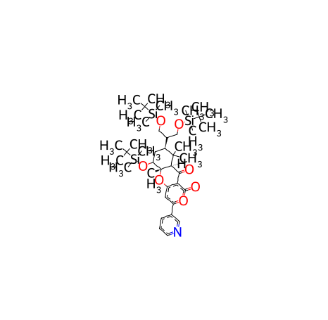 CC1(C)[C@H]2C(=O)c3c(cc(-c4cccnc4)oc3=O)O[C@]2(C)C(O[Si](C)(C)C(C)(C)C)C[C@H]1C(CO[Si](C)(C)C(C)(C)C)CO[Si](C)(C)C(C)(C)C